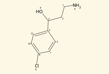 NCCC(O)c1ccc(Cl)cc1